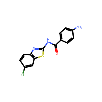 Nc1ccc(C(=O)Nc2nc3ccc(Cl)cc3s2)cc1